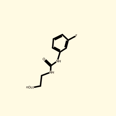 CCCCCCCCCCNC(=O)Nc1cccc(F)c1